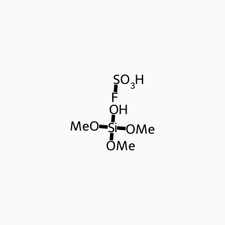 CO[Si](O)(OC)OC.O=S(=O)(O)F